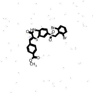 COC(=O)c1ccc(/C=C2\Sc3cc(S(=O)(=O)Cc4c(Br)cccc4Br)ccc3NC2=O)cc1